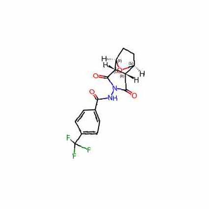 O=C(NN1C(=O)[C@@H]2[C@H](C1=O)[C@H]1CC[C@@H]2O1)c1ccc(C(F)(F)F)cc1